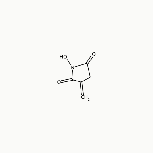 C=C1CC(=O)N(O)C1=O